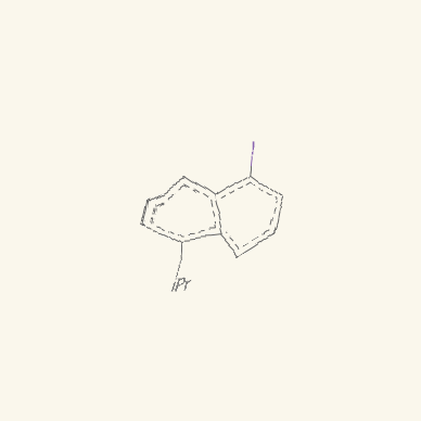 CC(C)c1cccc2c(I)cccc12